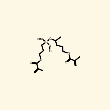 C=C(C)C(=O)OCCCC(C)O[Si](CCCOC(=O)C(=C)C)(OCC)OCC